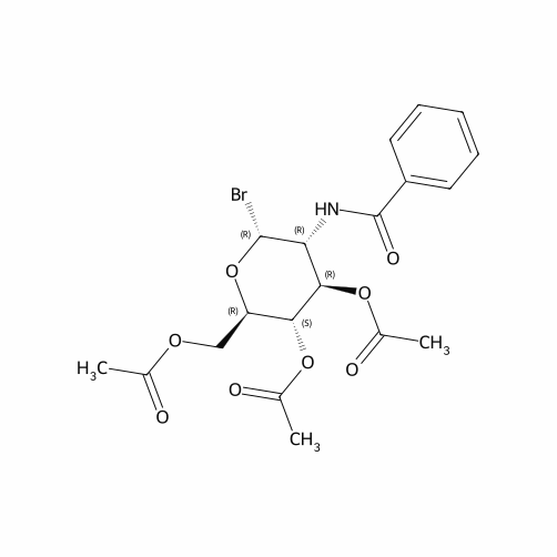 CC(=O)OC[C@H]1O[C@H](Br)[C@H](NC(=O)c2ccccc2)[C@@H](OC(C)=O)[C@@H]1OC(C)=O